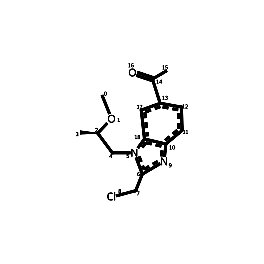 CO[C@H](C)Cn1c(CCl)nc2ccc(C(C)=O)cc21